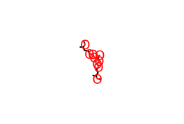 COC(C)CCOOOC(=O)OOOCCC(C)OC